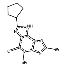 CCCn1c(=O)c2nc(C3CCCC3)[nH]c2n2nc(C(C)C)nc12